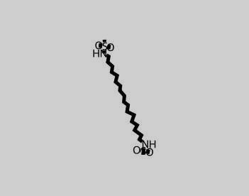 CS(=O)(=O)NCCCCCCCCCCCCCCCCCCNS(C)(=O)=O